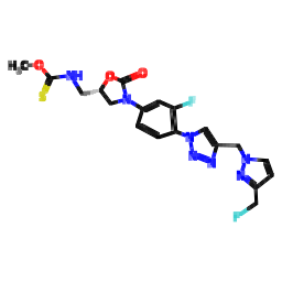 COC(=S)NC[C@H]1CN(c2ccc(-n3cc(Cn4ccc(CF)n4)nn3)c(F)c2)C(=O)O1